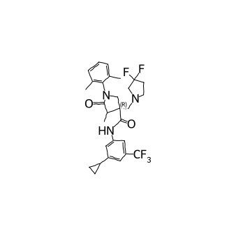 Cc1cccc(C)c1N1C[C@@](CN2CCC(F)(F)C2)(C(=O)Nc2cc(C3CC3)cc(C(F)(F)F)c2)C(C)C1=O